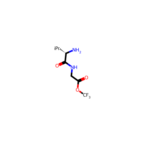 CC(C)[C@H](N)C(=O)NCC(=O)OC(F)(F)F